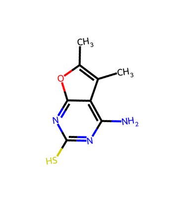 Cc1oc2nc(S)nc(N)c2c1C